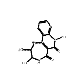 O=C1NC(O)C(O)Nc2c1c(=O)n(O)c1ncccc21